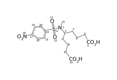 CN(C(CCCC(=O)O)CCCC(=O)O)S(=O)(=O)c1ccc([N+](=O)[O-])cc1